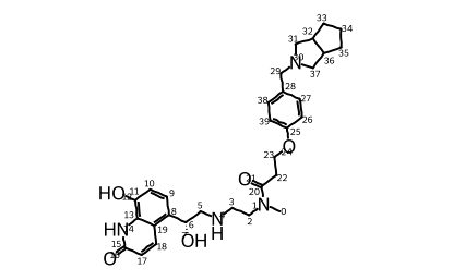 CN(CCNC[C@H](O)c1ccc(O)c2[nH]c(=O)ccc12)C(=O)CCOc1ccc(CN2CC3CCCC3C2)cc1